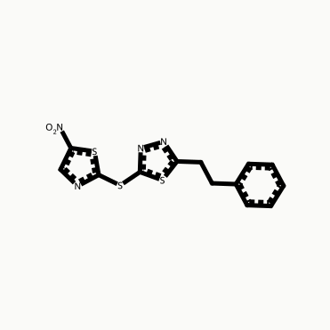 O=[N+]([O-])c1cnc(Sc2nnc(CCc3ccccc3)s2)s1